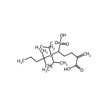 C=C(CCC([Si](C(C)C)(C(C)C)C(C)(C)CCC)S(=O)(=O)O)C(=O)O